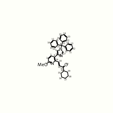 COc1ccc(-c2cn(C(c3ccccc3)(c3ccccc3)c3ccccc3)cn2)c(/C=C/C(=O)C2CCCCC2)n1